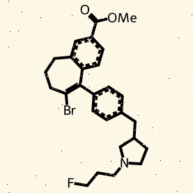 COC(=O)c1ccc2c(c1)CCCC(Br)=C2c1ccc(CC2CCN(CCCF)C2)cc1